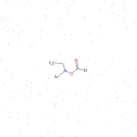 CCC(=O)ON(CC(F)(F)F)C(C)=O